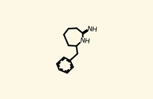 N=C1CCCCC(Cc2ccccc2)N1